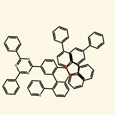 c1ccc(-c2ccc3c(c2)c2ccccc2n3-c2ccc(-c3nc(-c4ccccc4)nc(-c4ccccc4)n3)cc2-c2c(-c3ccccn3)cccc2-n2c3ccccc3c3cc(-c4ccccc4)ccc32)cc1